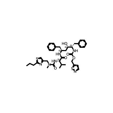 CCCc1nc(CN(C)C(=O)N[C@H](C(=O)N[C@@H](Cc2ccccc2)C[C@H](O)[C@H](Cc2ccccc2)NC(=O)OCc2ccns2)C(C)C)cs1